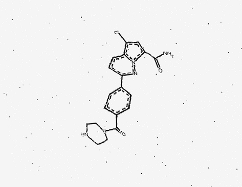 NC(=O)c1cc(Cl)c2ccc(-c3ccc(C(=O)N4CCNCC4)cc3)nn12